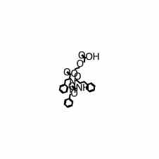 O=C(O)COCCOC(=O)C(Cc1ccccc1)NC(=O)C(Cc1ccccc1)NC(=O)OCc1ccccc1